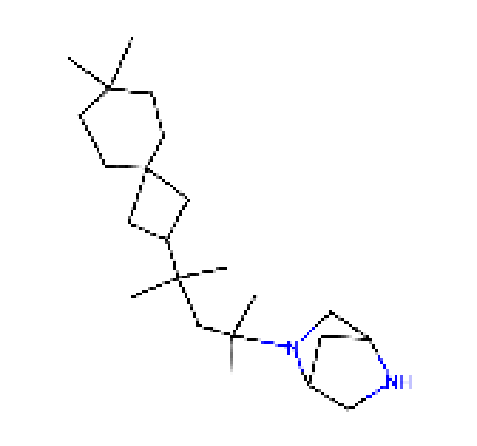 CC1(C)CCC2(CC1)CC(C(C)(C)CC(C)(C)N1CC3CC1CN3)C2